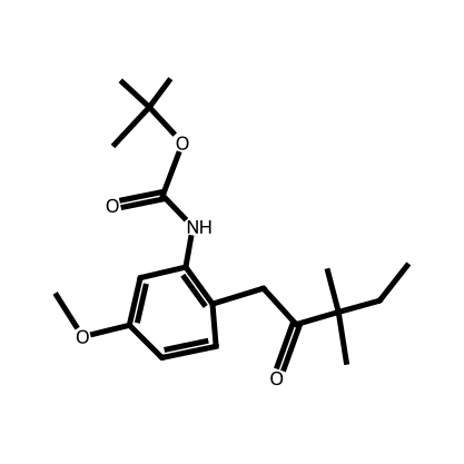 CCC(C)(C)C(=O)Cc1ccc(OC)cc1NC(=O)OC(C)(C)C